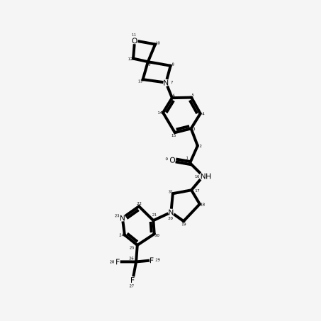 O=C(Cc1ccc(N2CC3(COC3)C2)cc1)NC1CCN(c2cncc(C(F)(F)F)c2)C1